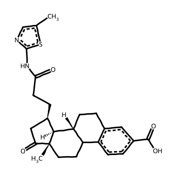 Cc1cnc(NC(=O)CC[C@@H]2CC(=O)[C@@]3(C)CCC4c5ccc(C(=O)O)cc5CC[C@H]4[C@H]23)s1